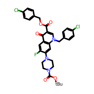 CC(C)(C)OC(=O)N1CCN(c2cc3c(cc2F)c(=O)c(C(=O)OCc2ccc(Cl)cc2)cn3Cc2ccc(Cl)cc2)CC1